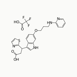 O=C(O)C(F)(F)F.O=C(O)CC(c1nccs1)c1c[nH]c2cc(OCCCNc3ccccn3)ccc12